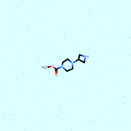 COC(=O)N1CCN(C2CNC2)CC1